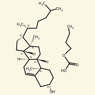 CC(C)CCC[C@@H](C)[C@H]1CC[C@H]2[C@@H]3CC=C4C[C@@H](O)CC[C@]4(C)[C@H]3CC[C@]12C.CCCCOC(=O)O